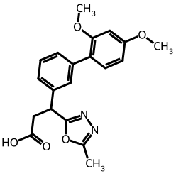 COc1ccc(-c2cccc(C(CC(=O)O)c3nnc(C)o3)c2)c(OC)c1